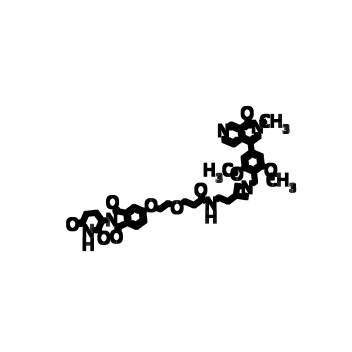 COc1cc(-c2cn(C)c(=O)c3cnccc23)cc(OC)c1CN1CC(CCNC(=O)CCOCCOc2ccc3c(c2)C(=O)N(C2CCC(=O)NC2=O)C3=O)C1